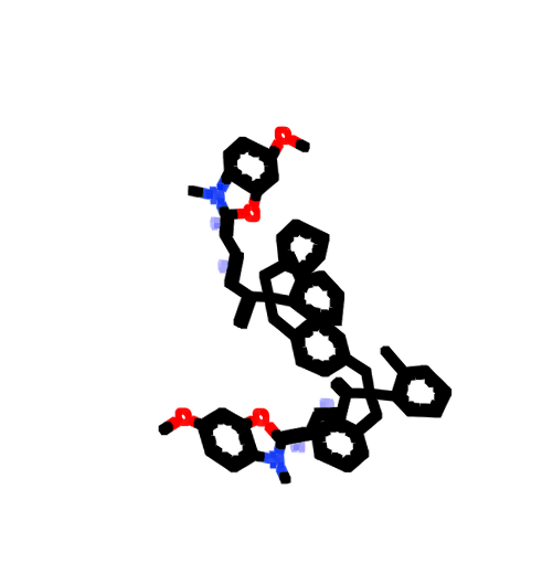 C=C(/C=C/C=C1\Oc2cc(OC)ccc2N1C)C(Cc1ccccc1)(Cc1ccc(CC(Cc2ccccc2)(C(=C)/C=C/C=C2\Oc3cc(OC)ccc3N2C)c2ccccc2C)cc1)c1ccccc1C